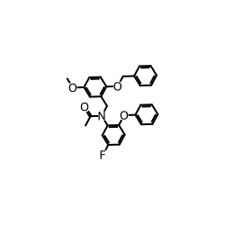 COc1ccc(OCc2ccccc2)c(CN(C(C)=O)c2cc(F)ccc2Oc2ccccc2)c1